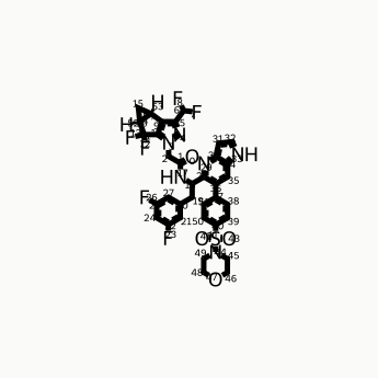 O=C(Cn1nc(C(F)F)c2c1C(F)(F)[C@@H]1C[C@H]21)NC(Cc1cc(F)cc(F)c1)c1nc2cc[nH]c2cc1-c1ccc(S(=O)(=O)N2CCOCC2)cc1